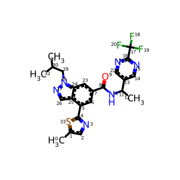 Cc1cnc(-c2cc(C(=O)NC(C)c3cnc(C(F)(F)F)nc3)cc3c2cnn3CC(C)C)s1